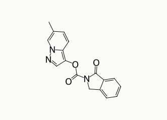 Cc1ccc2c(OC(=O)N3Cc4ccccc4C3=O)cnn2c1